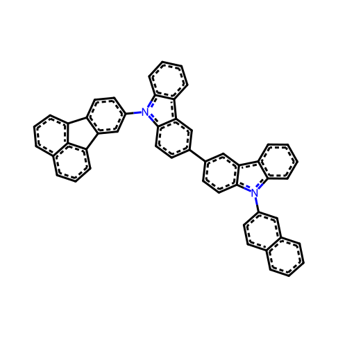 c1ccc2cc(-n3c4ccccc4c4cc(-c5ccc6c(c5)c5ccccc5n6-c5ccc6c(c5)-c5cccc7cccc-6c57)ccc43)ccc2c1